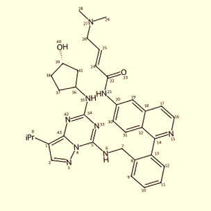 CC(C)c1cnn2c(NCc3ccccc3-c3nccc4cc(NC(=O)/C=C/CN(C)C)ccc34)nc(NC3CC[C@H](O)C3)nc12